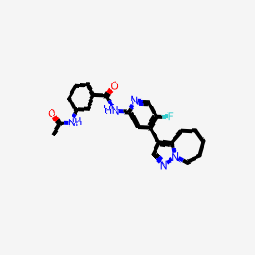 CC(=O)NC1CCCC(C(=O)Nc2cc(-c3cnn4c3CCCCC4)c(F)cn2)C1